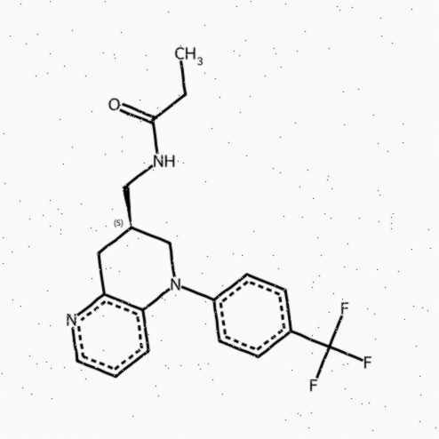 CCC(=O)NC[C@@H]1Cc2ncccc2N(c2ccc(C(F)(F)F)cc2)C1